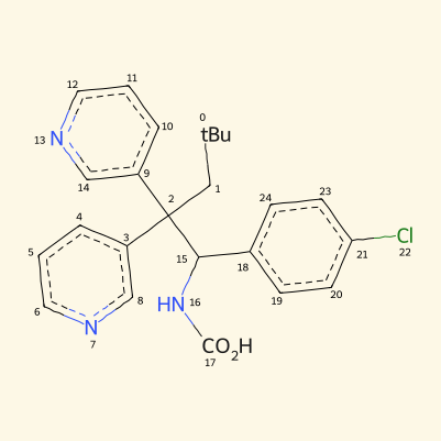 CC(C)(C)CC(c1cccnc1)(c1cccnc1)C(NC(=O)O)c1ccc(Cl)cc1